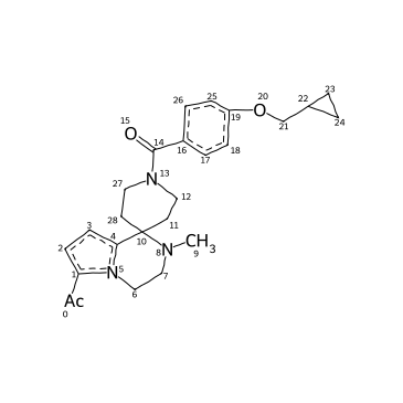 CC(=O)c1ccc2n1CCN(C)C21CCN(C(=O)c2ccc(OCC3CC3)cc2)CC1